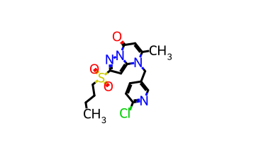 CCCCS(=O)(=O)c1cc2n(Cc3ccc(Cl)nc3)c(C)cc(=O)n2n1